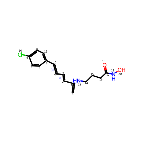 C=C(/C=C/C=C/c1ccc(Cl)cc1)NCCCC(=O)NO